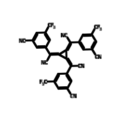 N#CC(=C1C(=C(C#N)c2cc(C#N)cc(C(F)(F)F)c2)C1=C(C#N)c1cc(C#N)cc(C(F)(F)F)c1)c1cc(C#N)cc(C(F)(F)F)c1